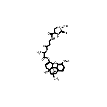 COc1ccc2c3c1OC1C(OC(=O)C(C)OC(=O)CCNC(=O)C(CC(C)C)NC(=O)OC(C)(C)C)=CCC4(O)C(C2)N(C)CCC314